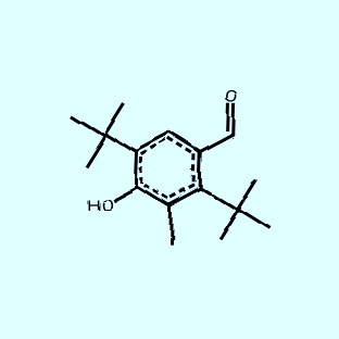 Cc1c(O)c(C(C)(C)C)cc(C=O)c1C(C)(C)C